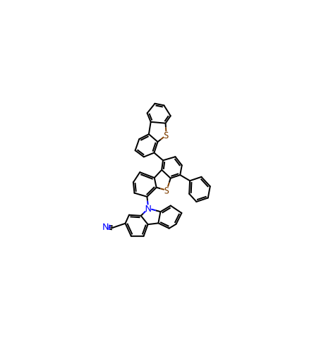 N#Cc1ccc2c3ccccc3n(-c3cccc4c3sc3c(-c5ccccc5)ccc(-c5cccc6c5sc5ccccc56)c34)c2c1